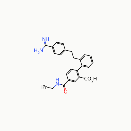 CC(C)CNC(=O)c1ccc(-c2ccccc2CCc2ccc(C(=N)N)cc2)c(C(=O)O)c1